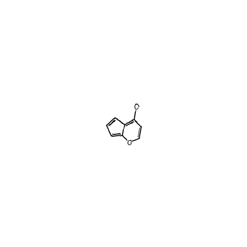 [O]c1ccoc2cccc1-2